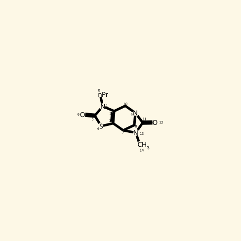 CCCn1c2c(sc1=O)C1CN(C2)C(=O)N1C